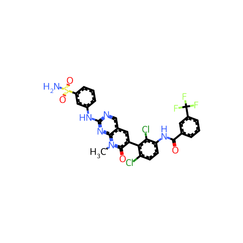 Cn1c(=O)c(-c2c(Cl)ccc(NC(=O)c3cccc(C(F)(F)F)c3)c2Cl)cc2cnc(Nc3cccc(S(N)(=O)=O)c3)nc21